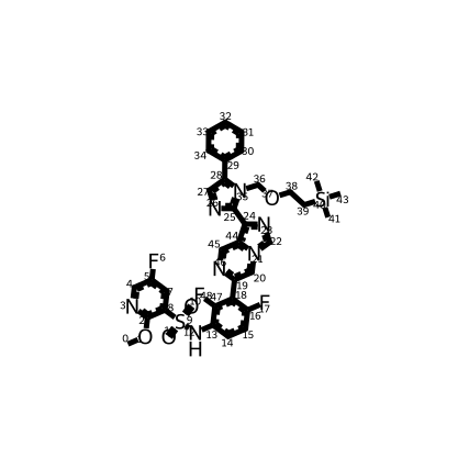 COc1ncc(F)cc1S(=O)(=O)Nc1ccc(F)c(-c2cn3cnc(-c4ncc(-c5ccccc5)n4COCC[Si](C)(C)C)c3cn2)c1F